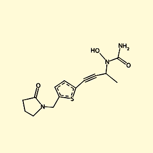 CC(C#Cc1ccc(CN2CCCC2=O)s1)N(O)C(N)=O